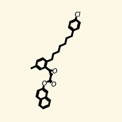 Cc1ccc(CCCCCCCc2ccc(Cl)cc2)c(C2OC2C(=O)Oc2ccc3ccccc3c2)c1